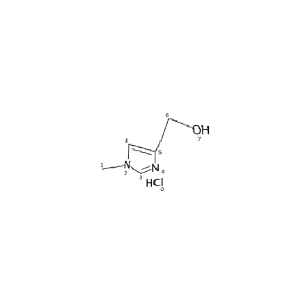 Cl.Cn1cnc(CO)c1